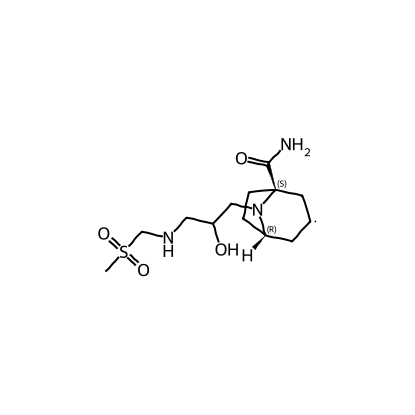 CS(=O)(=O)CNCC(O)CN1[C@@H]2C[CH]C[C@@]1(C(N)=O)CC2